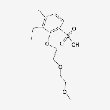 CCc1c(C)ccc(S(=O)(=O)O)c1OCCOCCOC